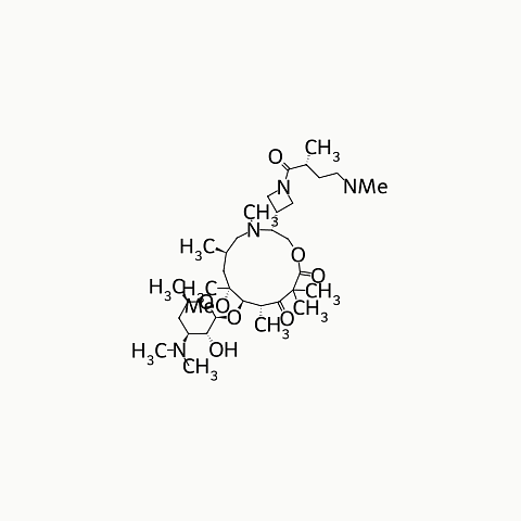 CNCC[C@@H](C)C(=O)N1CC([C@@H]2COC(=O)C(C)(C)C(=O)[C@H](C)[C@@H](O[C@@H]3O[C@H](C)C[C@H](N(C)C)[C@H]3O)[C@](C)(OC)C[C@@H](C)CN2C)C1